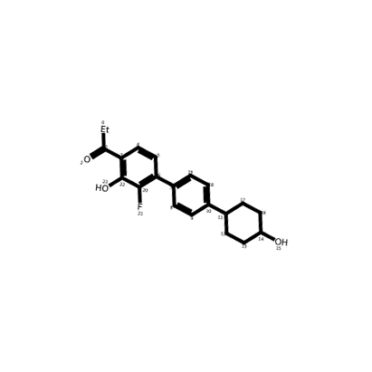 CCC(=O)c1ccc(-c2ccc(C3CCC(O)CC3)cc2)c(F)c1O